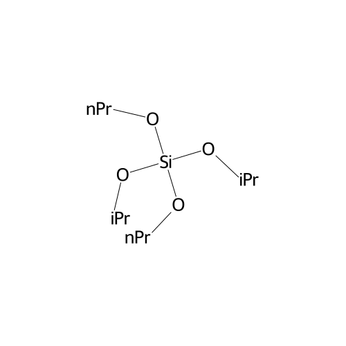 CCCO[Si](OCCC)(OC(C)C)OC(C)C